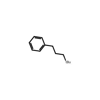 CC(C)(C)CCCc1ccccc1